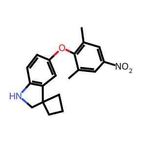 Cc1cc([N+](=O)[O-])cc(C)c1Oc1ccc2c(c1)C1(CCC1)CN2